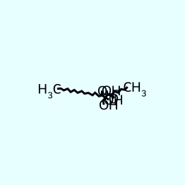 CCCCCCCCCCCCCC(=O)C(O)(CO)C(O)C(=O)CCCCC